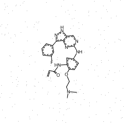 C=CC(=O)Nc1cc(Nc2ncc3[nH]nc(-c4cccc(F)c4)c3n2)ccc1OCCN(C)C